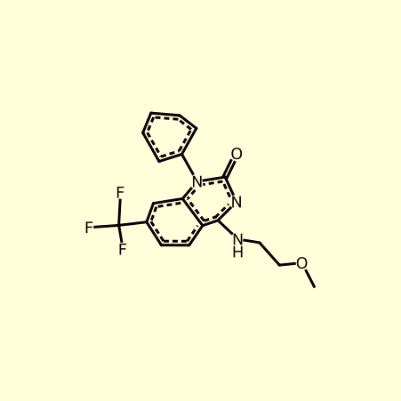 COCCNc1nc(=O)n(-c2ccccc2)c2cc(C(F)(F)F)ccc12